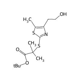 Cc1sc(SC(C)(C)C(=O)OC(C)(C)C)nc1CCO